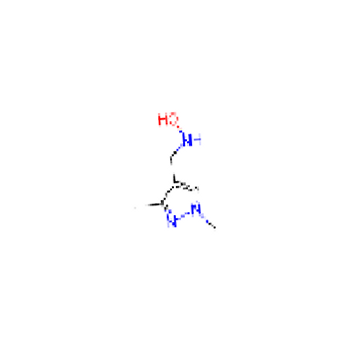 Cc1nn(C)cc1CNO